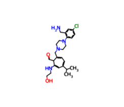 CC(C)C1=CC=C(CN2CCN(c3ccc(Cl)cc3CN)CC2)C(C=O)C(NCCO)=C1